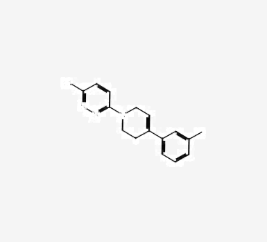 Cc1cccc(C2=CCN(c3ccc(Cl)nn3)CC2)c1